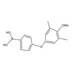 COc1c(C)cc(Oc2ccc(B(O)O)cc2)cc1C